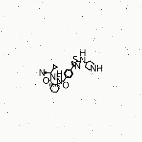 N#CC(NC(=O)[C@@H]1CCCC[C@@H]1NC(=O)c1ccc(-c2csc(NC3CCNCC3)n2)cc1)C1CC1